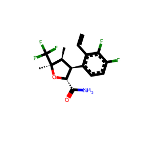 C=Cc1c([C@H]2[C@H](C(N)=O)O[C@@](C)(C(F)(F)F)[C@H]2C)ccc(F)c1F